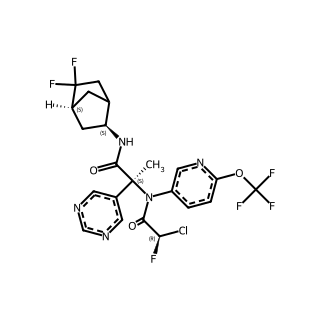 C[C@@](C(=O)N[C@H]1C[C@@H]2CC1CC2(F)F)(c1cncnc1)N(C(=O)[C@H](F)Cl)c1ccc(OC(F)(F)F)nc1